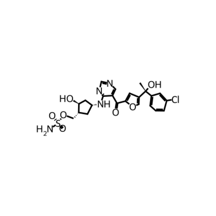 C[C@@](O)(c1cccc(Cl)c1)c1coc(C(=O)c2cncnc2N[C@@H]2C[C@H](COS(N)(=O)=O)[C@@H](O)C2)c1